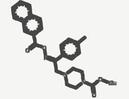 Cc1ccc(C(CN2CCN(C(=O)OC(C)(C)C)CC2)=NOC(=O)c2ccc3ccccc3c2)cc1